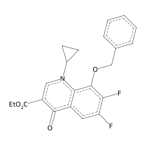 CCOC(=O)c1cn(C2CC2)c2c(OCc3ccccc3)c(F)c(F)cc2c1=O